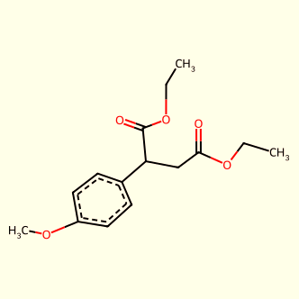 CCOC(=O)CC(C(=O)OCC)c1ccc(OC)cc1